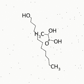 CC(O)C(=O)O.CCCCCCCCCCCCCO